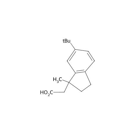 CC(C)(C)c1ccc2c(c1)C(C)(CC(=O)O)CC2